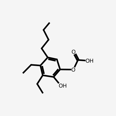 CCCCc1cc(OC(=O)O)c(O)c(CC)c1CC